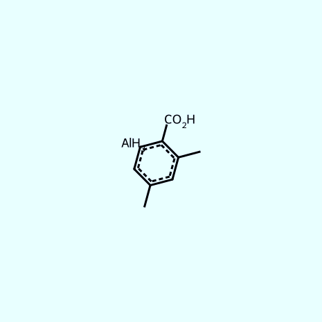 Cc1ccc(C(=O)O)c(C)c1.[AlH3]